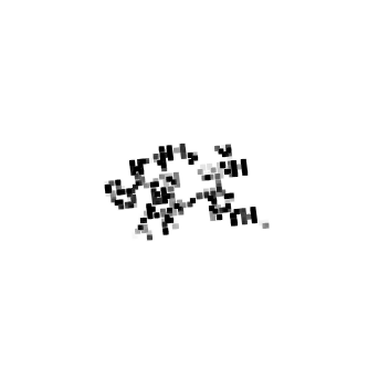 Cc1cc(C(=O)NC2CC2)n(CCn2c(=O)n(CC3CC3)n3c4c(nc23)N(N)CN=C4c2ccco2)n1